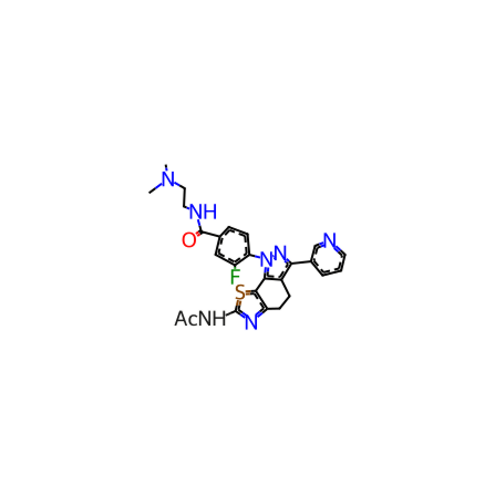 CC(=O)Nc1nc2c(s1)-c1c(c(-c3cccnc3)nn1-c1ccc(C(=O)NCCN(C)C)cc1F)CC2